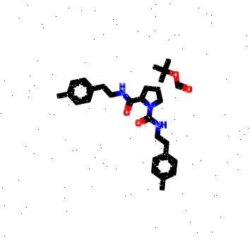 CC(C)(C)OC=O.Cc1ccc(CCNC(=O)C2CCCN2C(=O)NCCc2ccc(C)cc2)cc1